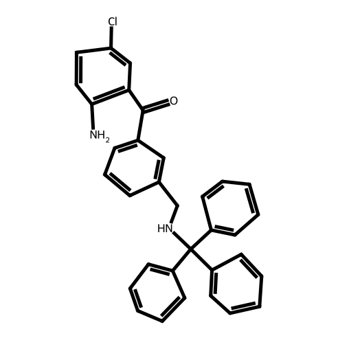 Nc1ccc(Cl)cc1C(=O)c1cccc(CNC(c2ccccc2)(c2ccccc2)c2ccccc2)c1